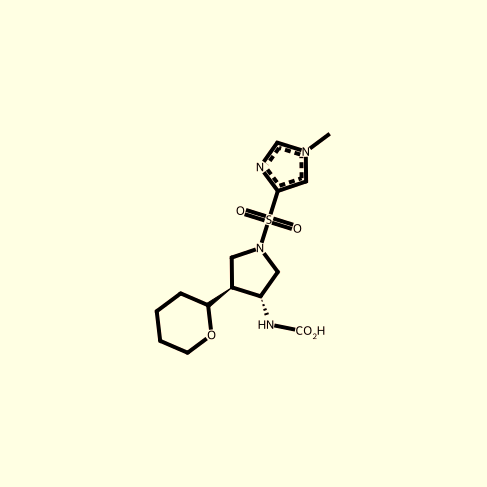 Cn1cnc(S(=O)(=O)N2C[C@H](NC(=O)O)[C@@H](C3CCCCO3)C2)c1